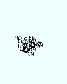 CCOc1ncc(Nc2nc(N[C@H](CC)[C@H](C)NC(=O)O)c(F)cc2C#N)cc1-n1ccnn1